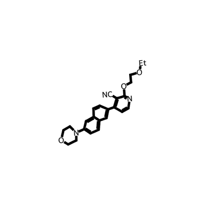 CCOCCOc1nccc(-c2ccc3cc(N4CCOCC4)ccc3c2)c1C#N